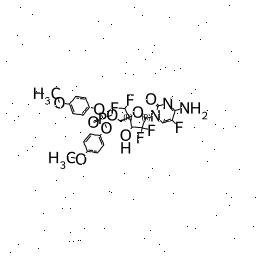 COc1ccc(OP(=O)(OC[C@@]2(C(F)F)O[C@@H](n3cc(F)c(N)nc3=O)C(F)(F)C2O)Oc2ccc(OC)cc2)cc1